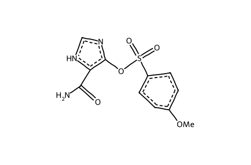 COc1ccc(S(=O)(=O)Oc2nc[nH]c2C(N)=O)cc1